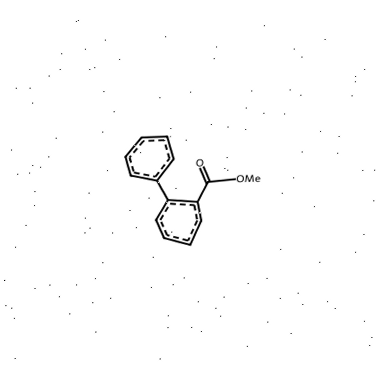 COC(=O)c1ccccc1-c1c[c]ccc1